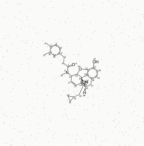 Cc1ccc(CCC(=O)N(C)C2C=C[C@@]3(O)[C@H]4Cc5ccc(O)c6c5[C@@]3(CCN4CC3CC3)C2O6)cc1C